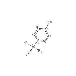 Fc1[c]cc(C(F)(F)F)cc1